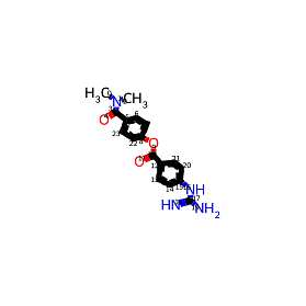 CN(C)C(=O)c1ccc(OC(=O)c2ccc(NC(=N)N)cc2)cc1